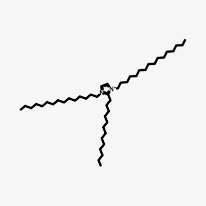 CCCCCCCCCCCCCCCC[n+]1ccn(CCCCCCCCCCCCCCC)c1CCCCCCCCCCCCC